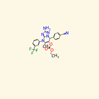 CCOC(=O)OC1=C(C)N(c2cccc(C(F)(F)F)c2)c2nc(N)nn2C1c1ccc(C#N)cc1